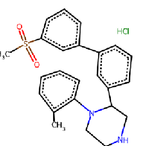 Cc1ccccc1N1CCNCC1c1cccc(-c2cccc(S(C)(=O)=O)c2)c1.Cl